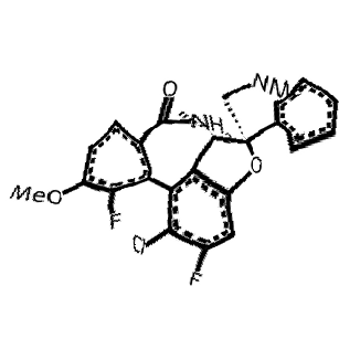 CNC[C@]1(c2ccccc2)Oc2cc(F)c(Cl)c(-c3c(C(N)=O)ccc(OC)c3F)c2[C@@H]1C